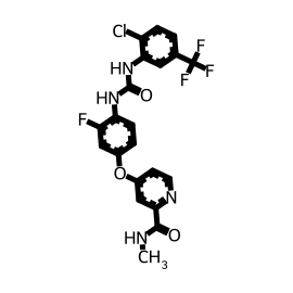 CNC(=O)c1cc(Oc2ccc(NC(=O)Nc3cc(C(F)(F)F)ccc3Cl)c(F)c2)ccn1